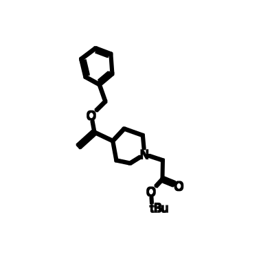 C=C(OCc1ccccc1)C1CCN(CC(=O)OC(C)(C)C)CC1